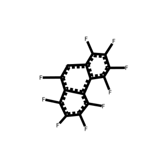 Fc1c(F)c(F)c2c([c]c(F)c3c(F)c(F)c(F)c(F)c32)c1F